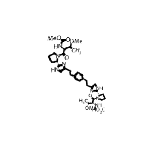 COC(=O)N[C@H](C(=O)N1CCC[C@H]1c1nc(CCc2ccc(CCc3c[nH]c([C@@H]4CCCN4C(=O)[C@@H](NC(=O)O)[C@@H](C)OC)n3)cc2)c[nH]1)C(C)OC